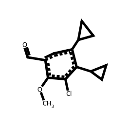 COc1c(C=O)cc(C2CC2)c(C2CC2)c1Cl